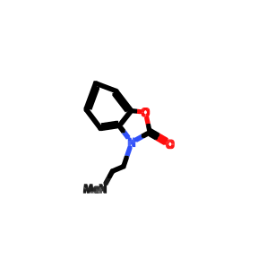 CNCCn1c(=O)oc2ccccc21